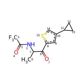 CC(NC(=O)C(F)(F)F)C(=O)c1cc(C2CC2)cs1